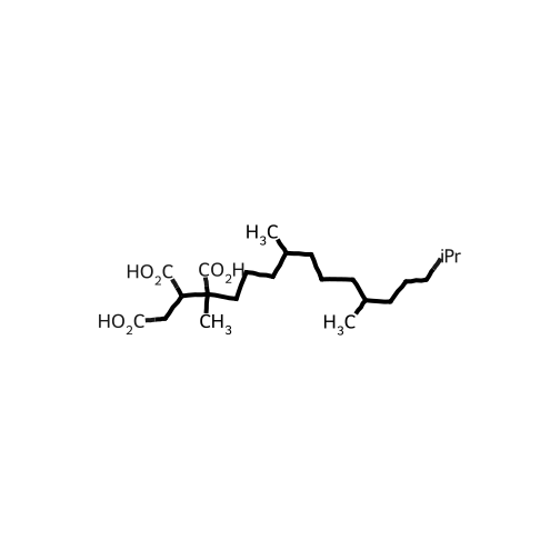 CC(C)CCCC(C)CCCC(C)CCCC(C)(C(=O)O)C(CC(=O)O)C(=O)O